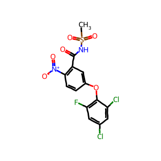 CS(=O)(=O)NC(=O)c1cc(Oc2c(F)cc(Cl)cc2Cl)ccc1[N+](=O)[O-]